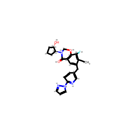 Cc1c(Cc2ccc(-n3cccn3)nc2)cc2c(c1F)OCN([C@H]1CCC[C@@H]1O)C2=O